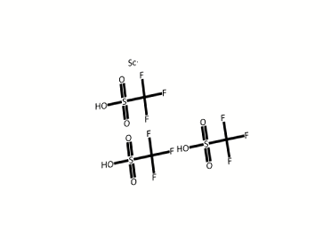 O=S(=O)(O)C(F)(F)F.O=S(=O)(O)C(F)(F)F.O=S(=O)(O)C(F)(F)F.[Sc]